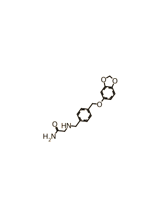 NC(=O)CNCc1ccc(COc2ccc3c(c2)OCO3)cc1